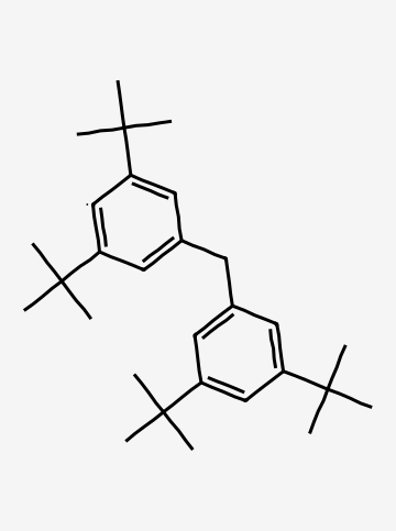 CC(C)(C)c1[c]c(C(C)(C)C)cc(Cc2cc(C(C)(C)C)cc(C(C)(C)C)c2)c1